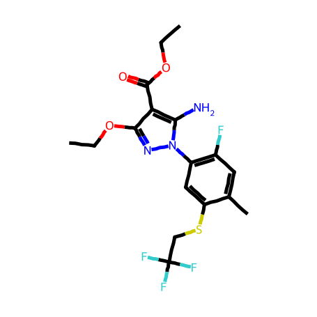 CCOC(=O)c1c(OCC)nn(-c2cc(SCC(F)(F)F)c(C)cc2F)c1N